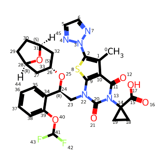 Cc1c(-n2nccn2)sc2c1c(=O)n(C1(C(=O)O)CC1)c(=O)n2C[C@H](O[C@@H]1C[C@H]2CC[C@@H](C1)O2)c1ccccc1OC(F)F